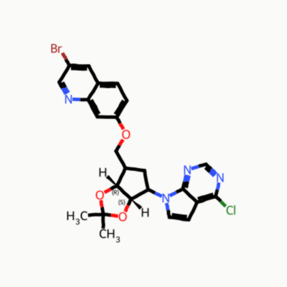 CC1(C)O[C@@H]2C(COc3ccc4cc(Br)cnc4c3)CC(n3ccc4c(Cl)ncnc43)[C@@H]2O1